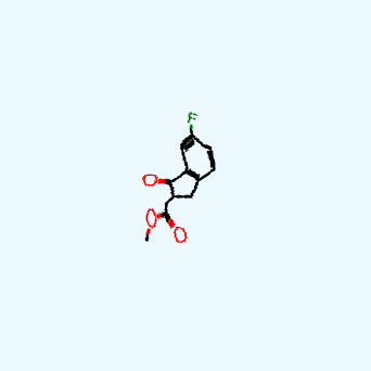 COC(=O)C1Cc2ccc(F)cc2C1=O